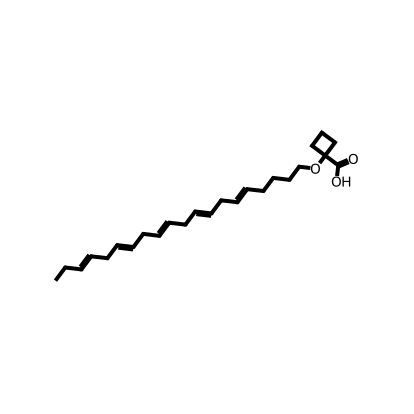 CCC=CCC=CCC=CCC=CCC=CCCCCOC1(C(=O)O)CCC1